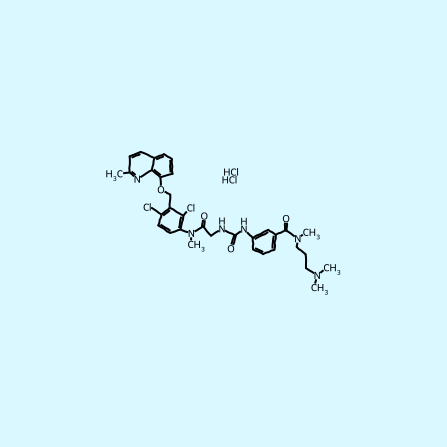 Cc1ccc2cccc(OCc3c(Cl)ccc(N(C)C(=O)CNC(=O)Nc4cccc(C(=O)N(C)CCCN(C)C)c4)c3Cl)c2n1.Cl.Cl